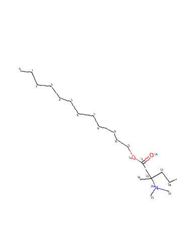 CCCCCCCCCCCCOC(=O)C(C)(CCO)N(C)C